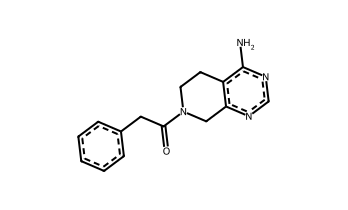 Nc1ncnc2c1CCN(C(=O)Cc1ccccc1)C2